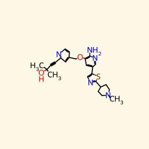 CN1CCC(c2ncc(-c3cnc(N)c(OCc4ccnc(C#CC(C)(C)O)c4)c3)s2)CC1